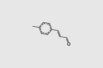 Cc1ccc(C=CC=O)cc1